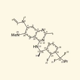 C=CN(C)c1cc2nc(C)nc(N[C@H](C)c3cccc(C(F)(F)C(C)C)c3F)c2cc1NC